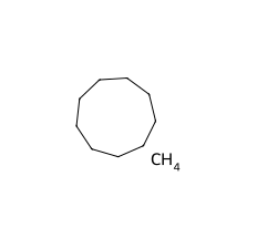 C.C1CCCCCCCC1